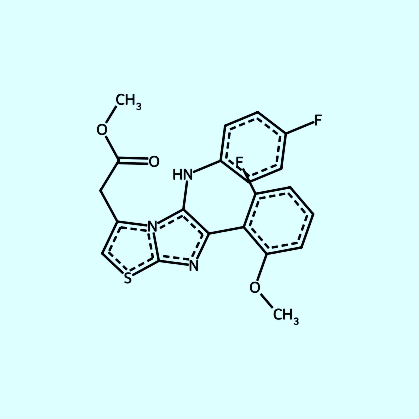 COC(=O)Cc1csc2nc(-c3c(F)cccc3OC)c(Nc3ccc(F)cc3)n12